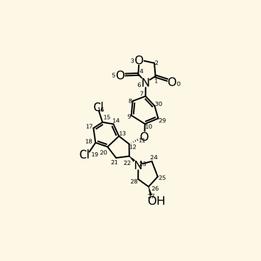 O=C1COC(=O)N1c1ccc(O[C@H]2c3cc(Cl)cc(Cl)c3C[C@@H]2N2CC[C@@H](O)C2)cc1